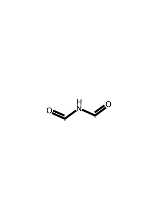 O=[C]N[C]=O